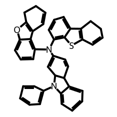 C1=Cc2c(oc3cccc(N(C4=CC5C(C=C4)c4ccccc4N5c4ccccc4)c4cccc5c6c(sc45)C=CCC6)c23)CC1